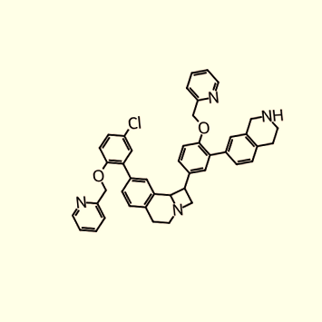 Clc1ccc(OCc2ccccn2)c(-c2ccc3c(c2)C2C(c4ccc(OCc5ccccn5)c(-c5ccc6c(c5)CNCC6)c4)CN2CC3)c1